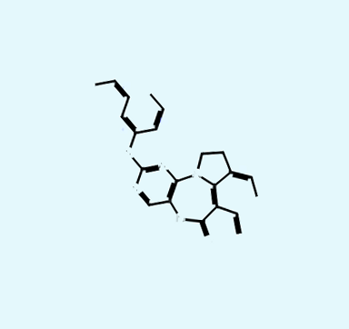 C=CC1=C2/C(=C\C)CCN2c2nc(NC(/C=C\C)=C/C=C\C)ncc2NC1=O